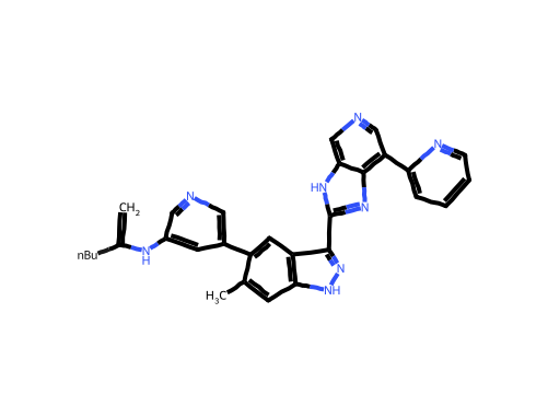 C=C(CCCC)Nc1cncc(-c2cc3c(-c4nc5c(-c6ccccn6)cncc5[nH]4)n[nH]c3cc2C)c1